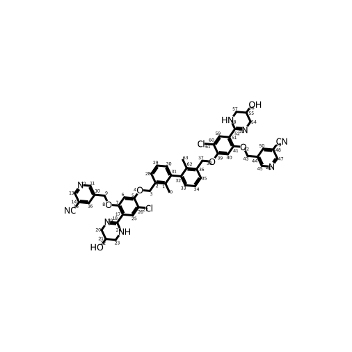 Cc1c(COc2cc(OCc3cncc(C#N)c3)c(C3=NCC(O)CN3)cc2Cl)cccc1-c1cccc(COc2cc(OCc3cncc(C#N)c3)c(C3=NCC(O)CN3)cc2Cl)c1C